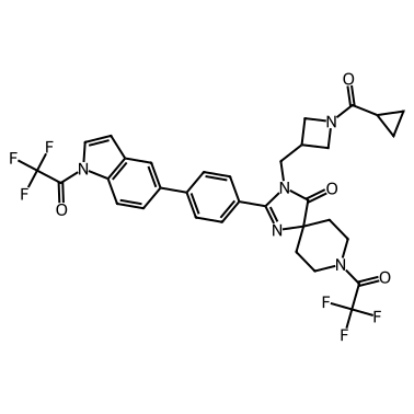 O=C(C1CC1)N1CC(CN2C(=O)C3(CCN(C(=O)C(F)(F)F)CC3)N=C2c2ccc(-c3ccc4c(ccn4C(=O)C(F)(F)F)c3)cc2)C1